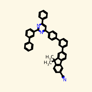 CC1(C)c2ccc(C#N)cc2-c2ccc(-c3cccc(-c4ccc(-c5cc(-c6ccccc6)nc(-c6cccc(-c7ccccc7)c6)n5)cc4)c3)cc21